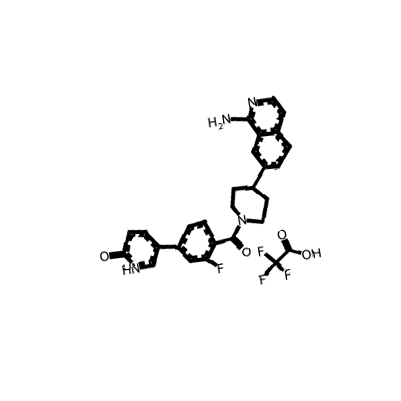 Nc1nccc2ccc(C3CCN(C(=O)c4ccc(-c5ccc(=O)[nH]c5)cc4F)CC3)cc12.O=C(O)C(F)(F)F